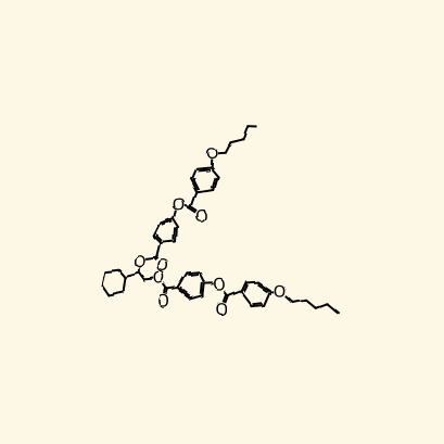 CCCCCOc1ccc(C(=O)Oc2ccc(C(=O)OCC(OC(=O)c3ccc(OC(=O)c4ccc(OCCCCC)cc4)cc3)C3CCCCC3)cc2)cc1